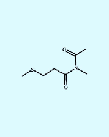 CSCCC(=O)N(C)C(C)=O